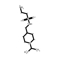 CC(C)N1CCC(CNS(=O)(=O)CCN)CC1